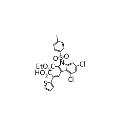 CCOC(=O)c1c(C=C(C(=O)O)c2cccs2)c2c(Cl)cc(Cl)cc2n1S(=O)(=O)c1ccc(C)cc1